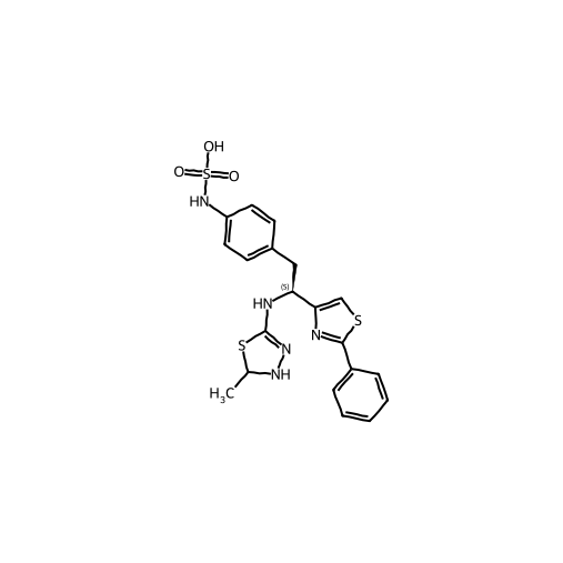 CC1NN=C(N[C@@H](Cc2ccc(NS(=O)(=O)O)cc2)c2csc(-c3ccccc3)n2)S1